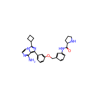 Nc1nccn2c(C3CCC3)nc(-c3cccc(OCc4cccc(NC(=O)C5CCCN5)c4)c3)c12